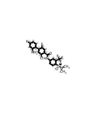 CN(C)S(=O)(=O)c1ccc(NC(=O)c2cc(F)c(-c3ccc(F)cc3N)cc2Cl)cc1C(F)(F)F